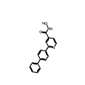 O=C(NO)c1ccnc(-c2ccc(-c3ccccc3)cc2)c1